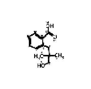 CC(C)(CO)Cc1ccccc1C(=O)O